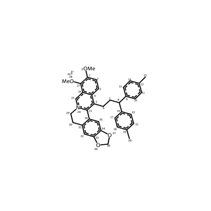 COc1ccc2c(CCC(c3ccc(C)cc3)c3ccc(C)cc3)c3[n+](cc2c1OC)CCc1cc2c(cc1-3)OCO2.[I-]